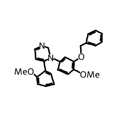 COc1ccc(N2CN=CC=C2c2ccccc2OC)cc1OCc1ccccc1